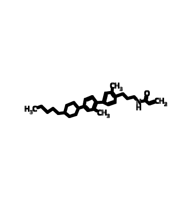 C=CC(=O)NCCCc1ccc(-c2ccc(C3CCC(CCCCC)CC3)cc2C)cc1C